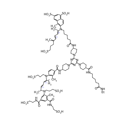 C=C(/C=C/C=C(\C)N(CCCCCC(=O)NC1CCN(c2nc(N3CCC(NC(=O)c4ccc(N(CCCS(=O)(=O)O)/C(C)=C/C=C/C(C)N(CCCS(=O)(=O)O)c5cc(C(=O)NCCS(=O)(=O)O)cc(C(=O)NCCS(=O)(=O)O)c5C)c(C)c4)CC3)nc(N3CCC(C(=O)NCCCCCC(=O)NCC)CC3)n2)CC1)c1ccc2c(S(=O)(=O)O)cc(S(=O)(=O)O)cc2c1C)CCCS(=O)(=O)O